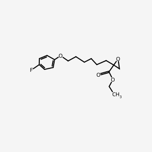 CCOC(=O)C1(CCCCCCOc2ccc(F)cc2)CO1